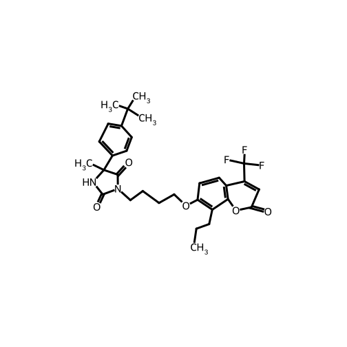 CCCc1c(OCCCCN2C(=O)NC(C)(c3ccc(C(C)(C)C)cc3)C2=O)ccc2c(C(F)(F)F)cc(=O)oc12